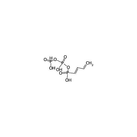 C=CC=CP(=O)(O)OP(=O)(O)O[PH](=O)O